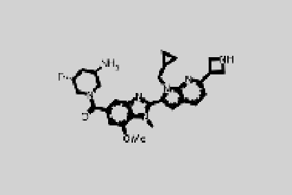 COc1cc(C(=O)N2C[C@H](N)C[C@@H](F)C2)cc2nc(-c3cc4ccc(C5CNC5)nc4n3CC3CC3)n(C)c12